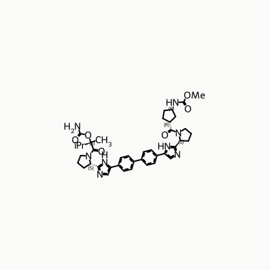 COC(=O)N[C@H]1CC[C@@H](C(=O)N2CCC[C@H]2c2ncc(-c3ccc(-c4ccc(-c5cnc([C@@H]6CCCN6C(=O)[C@@](C)(OC(N)=O)C(C)C)[nH]5)cc4)cc3)[nH]2)C1